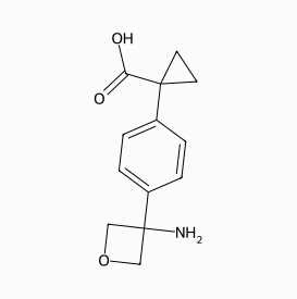 NC1(c2ccc(C3(C(=O)O)CC3)cc2)COC1